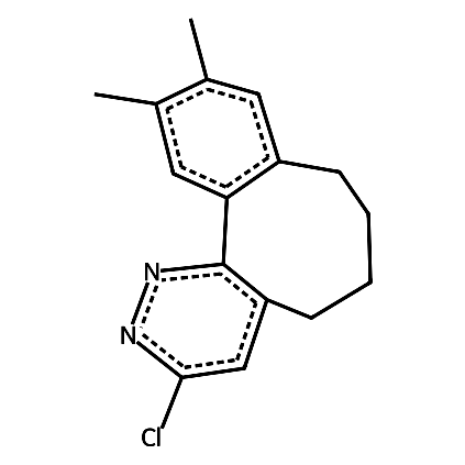 Cc1cc2c(cc1C)-c1nnc(Cl)cc1CCCC2